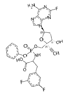 C#C[C@]1(COP(=O)(NC(Cc2cc(F)cc(F)c2)C(=O)O)Oc2ccccc2)O[C@@H](n2cnc3c(N)nc(F)nc32)C[C@@H]1O